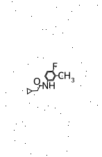 Cc1cc(NC(=O)CC2CC2)ccc1F